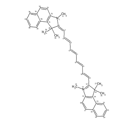 CN1/C(=C/C=C/C=C/C=C/C=C/C2=[N+](C)c3ccc4ccccc4c3C2(C)C)C(C)(C)c2c1ccc1ccccc21